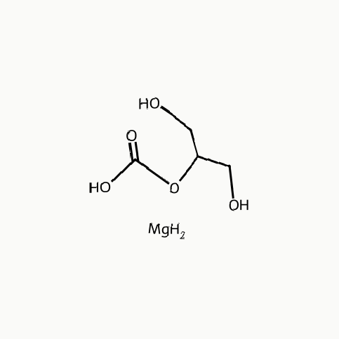 O=C(O)OC(CO)CO.[MgH2]